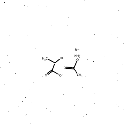 CC(=O)[O-].CC(O)C(=O)[O-].[NH4+].[Zr+]